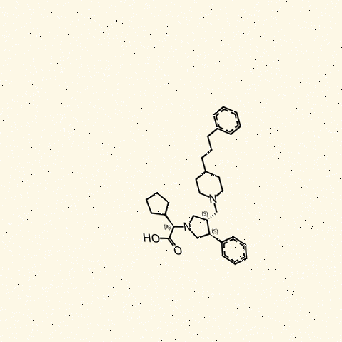 O=C(O)[C@@H](C1CCCC1)N1C[C@H](CN2CCC(CCCc3ccccc3)CC2)[C@@H](c2ccccc2)C1